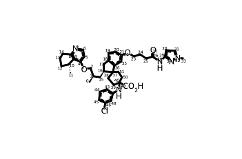 C[C@@H](COc1ccnc2c1[C@H](C)CCC2)C[C@H]1Cc2ccc(OCCCC(=O)Nc3ccn(C)n3)cc2C12CCC(Nc1cccc(Cl)c1)(C(=O)O)CC2